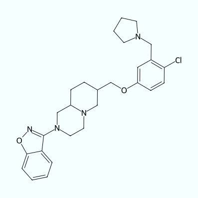 Clc1ccc(OCC2CCC3CN(c4noc5ccccc45)CCN3C2)cc1CN1CCCC1